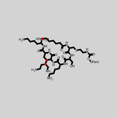 CCCCCCCCCCCCCCCC(=O)NC(CSCCNC(=O)OCCCCC)C(=O)NC(CO)C(=O)NC(CCCCN)C(=O)NC(CCCCN)C(=O)NC(CCCCN)C(=O)NC(CCCCN)C(=O)O